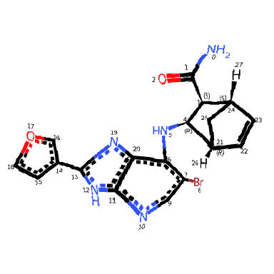 NC(=O)[C@@H]1[C@H](Nc2c(Br)cnc3[nH]c(-c4ccoc4)nc23)[C@H]2C=C[C@@H]1C2